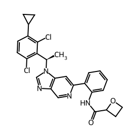 C[C@H](c1c(Cl)ccc(C2CC2)c1Cl)n1cnc2cnc(-c3ccccc3NC(=O)C3CCO3)cc21